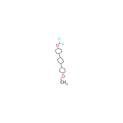 CCOC1CCC(C2CCC(C3CCC(OC(F)F)CC3)CC2)CC1